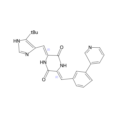 CC(C)(C)c1[nH]cnc1/C=c1\[nH]c(=O)/c(=C/c2cccc(-c3cccnc3)c2)[nH]c1=O